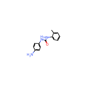 Cc1ccccc1NC(=O)Nc1ccc(N)cc1